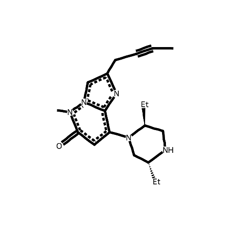 CC#CCc1cn2c(n1)c(N1C[C@@H](CC)NC[C@@H]1CC)cc(=O)n2C